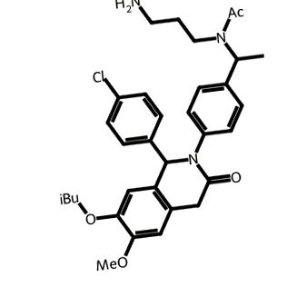 CCC(C)Oc1cc2c(cc1OC)CC(=O)N(c1ccc(C(C)N(CCCN)C(C)=O)cc1)C2c1ccc(Cl)cc1